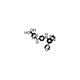 OC(O)c1cnc(N[C@H]2CC[C@@H](Nc3cc(N4CCOCC4)cc4nccnc34)CC2)nc1